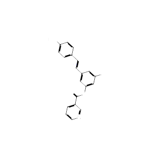 O=C(Oc1cc(O)cc(/C=C/c2ccc(O)cc2)c1)c1cccnc1